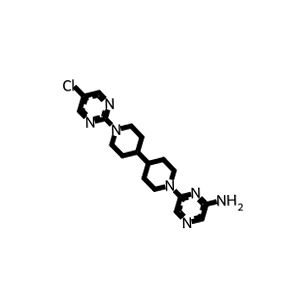 Nc1cncc(N2CCC(C3CCN(c4ncc(Cl)cn4)CC3)CC2)n1